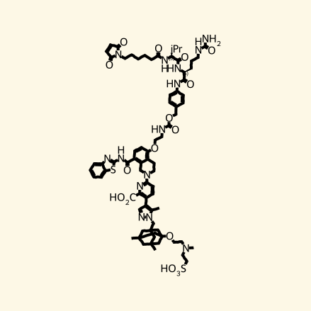 Cc1c(-c2ccc(N3CCc4c(OCCNC(=O)OCc5ccc(NC(=O)[C@H](CCCNC(N)=O)NC(=O)[C@@H](NC(=O)CCCCCN6C(=O)C=CC6=O)C(C)C)cc5)ccc(C(=O)Nc5nc6ccccc6s5)c4C3)nc2C(=O)O)cnn1CC12CC3(C)CC(C)(C1)CC(OCCN(C)CCS(=O)(=O)O)(C3)C2